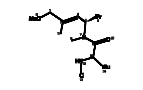 COC/C(C)=C/[C@H](C(C)C)N(C)C(=O)C(NCl)C(C)(C)C